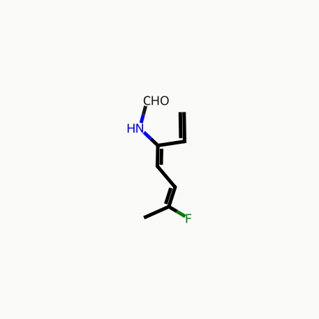 C=C/C(=C\C=C(/C)F)NC=O